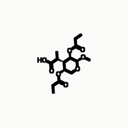 CCC(=O)O[C@H]1[C@@H](OC)OC[C@@H](OC(=O)CC)[C@@H]1C(C)C(=O)O